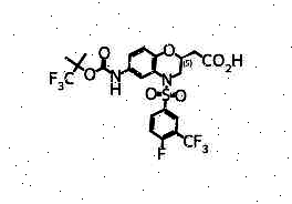 CC(C)(OC(=O)Nc1ccc2c(c1)N(S(=O)(=O)c1ccc(F)c(C(F)(F)F)c1)C[C@H](CC(=O)O)O2)C(F)(F)F